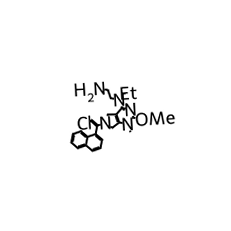 C=C(c1cccc2cccc(Cl)c12)N1CC2=C(C1)N(C)C(OC)N=C2N(CC)CCN